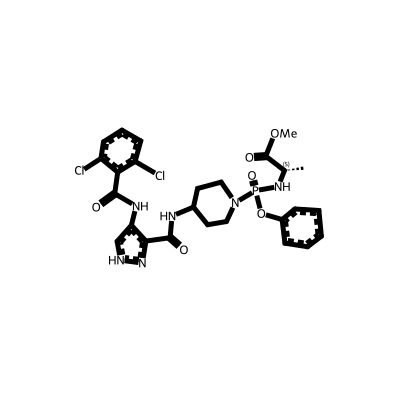 COC(=O)[C@H](C)NP(=O)(Oc1ccccc1)N1CCC(NC(=O)c2n[nH]cc2NC(=O)c2c(Cl)cccc2Cl)CC1